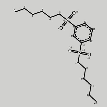 CCCCCCS(=O)(=O)c1c[c]cc(S(=O)(=O)CCCCCC)c1